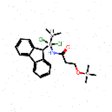 C[SiH](C)[Ti]([Cl])([Cl])([NH]C(=O)CCO[Si](C)(C)C)[CH]1c2ccccc2-c2ccccc21